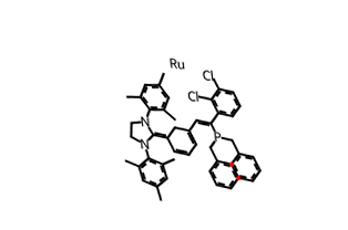 Cc1cc(C)c(N2CCN(c3c(C)cc(C)cc3C)C2=C2C=CC=C(C=C(c3cccc(Cl)c3Cl)P(Cc3ccccc3)Cc3ccccc3)C2)c(C)c1.[Ru]